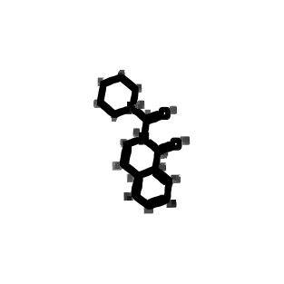 O=C(N1CCCCC1)n1ccc2ccccc2c1=O